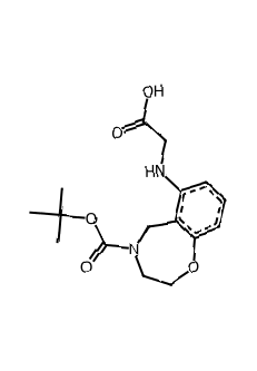 CC(C)(C)OC(=O)N1CCOc2cccc(NCC(=O)O)c2C1